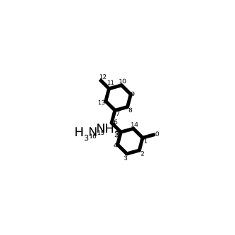 CC1CCCC(CC2CCCC(C)C2)C1.N.N